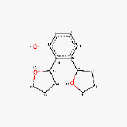 [O]c1cccc(C2CCCO2)c1C1CCCO1